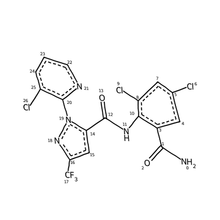 NC(=O)c1cc(Cl)cc(Cl)c1NC(=O)c1cc(C(F)(F)F)nn1-c1ncccc1Cl